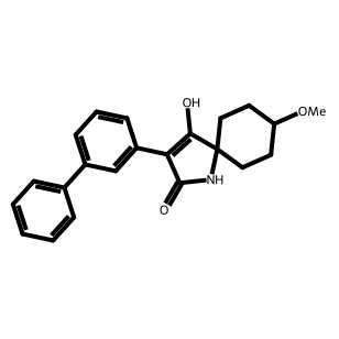 COC1CCC2(CC1)NC(=O)C(c1cccc(-c3ccccc3)c1)=C2O